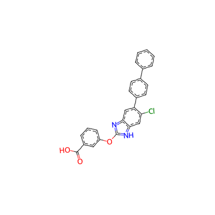 O=C(O)c1cccc(Oc2nc3cc(-c4ccc(-c5ccccc5)cc4)c(Cl)cc3[nH]2)c1